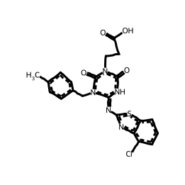 Cc1ccc(Cn2c(=O)n(CCC(=O)O)c(=O)[nH]/c2=N\c2nc3c(Cl)cccc3s2)cc1